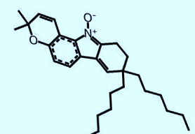 CCCCCCC1(CCCCCC)C=C2C(=[N+]([O-])c3c2ccc2c3C=CC(C)(C)O2)CC1